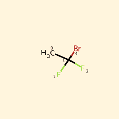 CC(F)(F)Br